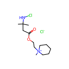 CC(C)(CC(=O)OCC[N+]1(C)CCCCC1)NCl.[Cl-]